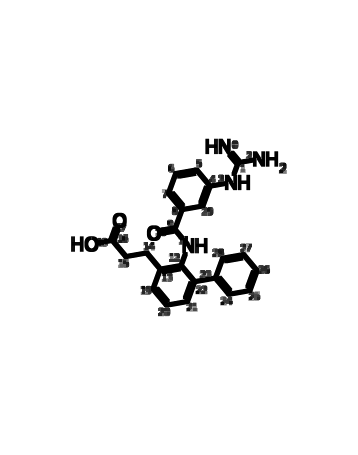 N=C(N)Nc1cccc(C(=O)Nc2c(CCC(=O)O)cccc2-c2ccccc2)c1